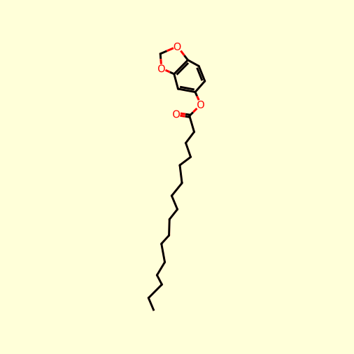 CCCCCCCCCCCCCCCC(=O)Oc1ccc2c(c1)OCO2